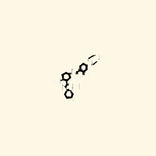 C[C@@H]1CN(c2ccc(C(=O)Nc3ccc(Cl)c(-c4nc5ccc(F)cc5[nH]4)c3)c(Cl)c2)C[C@H](C)N1C